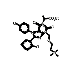 CCOC(=O)C(C)n1c(=O)c2c(nc(-c3ccccc3Cl)n2-c2ccc(Cl)cc2)n(COCC[Si](C)(C)C)c1=O